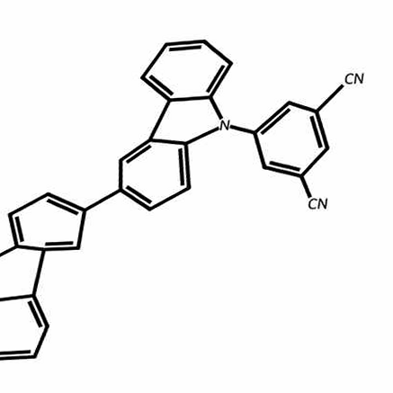 N#Cc1cc(C#N)cc(-n2c3ccccc3c3cc(-c4ccc5oc6ccccc6c5c4)ccc32)c1